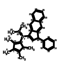 CC1=C(C)C(C)[C]([Zr]([C]2=CC(c3ccccc3)c3cc4ccccc4cc32)=[Si](C)C)=C1C